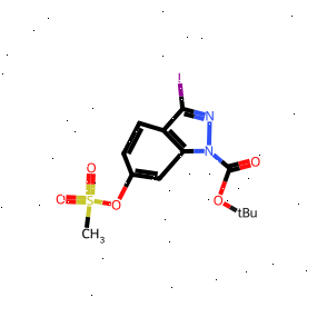 CC(C)(C)OC(=O)n1nc(I)c2ccc(OS(C)(=O)=O)cc21